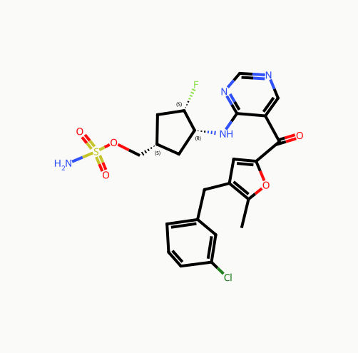 Cc1oc(C(=O)c2cncnc2N[C@@H]2C[C@H](COS(N)(=O)=O)C[C@@H]2F)cc1Cc1cccc(Cl)c1